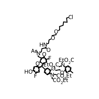 CCOC(=O)CN(CC(=O)OCC)c1ccc(C)cc1OCCOc1cc(-c2c3cc(F)c(=O)c(CN(CCC(=O)NCCOCCOCCCCCCCl)C(C)=O)c-3oc3cc(O)c(F)cc23)ccc1N(CC(=O)OCC)CC(=O)OCC